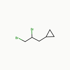 BrCC(Br)CC1CC1